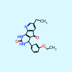 CCOc1cccc(C2NC(=O)NC3=C2C(=O)c2cc(CC)cnc23)c1